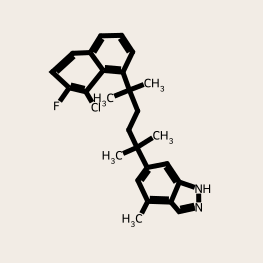 Cc1cc(C(C)(C)CCC(C)(C)c2cccc3ccc(F)c(Cl)c23)cc2[nH]ncc12